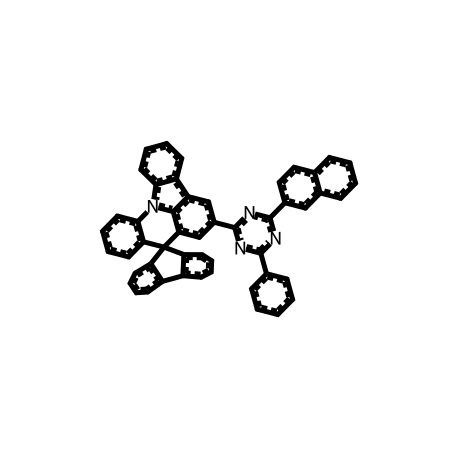 c1ccc(-c2nc(-c3ccc4ccccc4c3)nc(-c3cc4c5c(c3)c3ccccc3n5-c3ccccc3C43c4ccccc4-c4ccccc43)n2)cc1